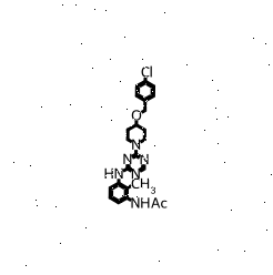 CC(=O)Nc1cccc(Nc2ncnc(N3CCC(OCc4ccc(Cl)cc4)CC3)n2)c1C